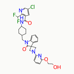 O=C(NC1CCC(CN2C(=O)C3(CN(c4cccc(OCCO)n4)C3)c3ccccc32)CC1)c1cc(Cl)cnc1C(F)F